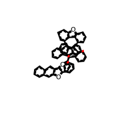 c1ccc(-c2c3ccccc3c(-c3cccc4oc5cccc(-c6c7ccccc7c(-c7ccc8oc9cc%10ccccc%10cc9c8c7)c7ccccc67)c5c34)c3ccccc23)cc1